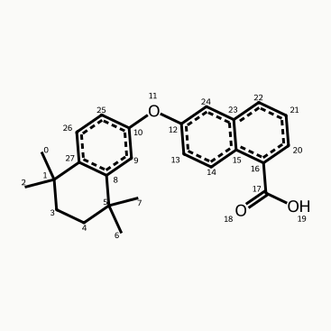 CC1(C)CCC(C)(C)c2cc(Oc3ccc4c(C(=O)O)cccc4c3)ccc21